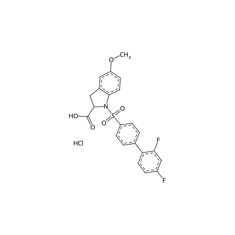 COc1ccc2c(c1)CC(C(=O)O)N2S(=O)(=O)c1ccc(-c2ccc(F)cc2F)cc1.Cl